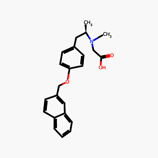 C[C@H](Cc1ccc(OCc2ccc3ccccc3c2)cc1)N(C)CC(=O)O